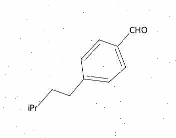 CC(C)CCc1ccc(C=O)cc1